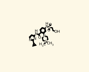 C[Si]1(C)CCN(c2cc(NS(=O)(=O)CCO)ccc2C(=O)Nc2ccnc(C3CC3)n2)CC1